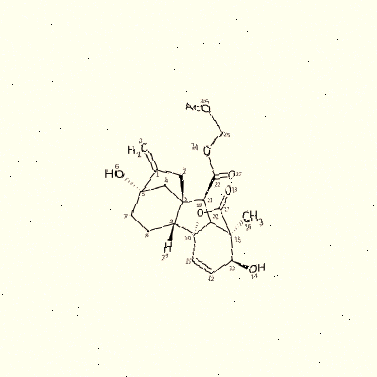 C=C1C[C@]23C[C@@]1(O)CC[C@H]2[C@@]12C=C[C@H](O)[C@](C)(C(=O)O1)C2[C@@H]3C(=O)OCOC(C)=O